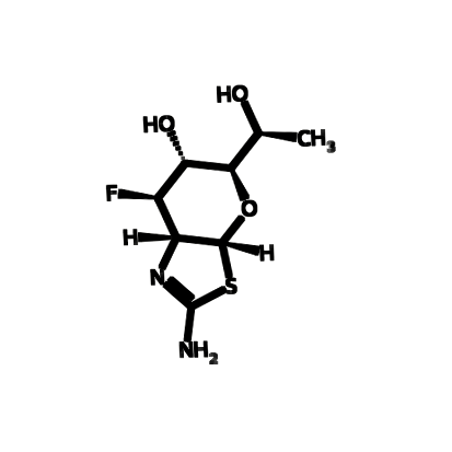 C[C@H](O)[C@H]1O[C@@H]2SC(N)=N[C@@H]2[C@@H](F)[C@@H]1O